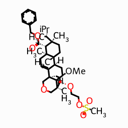 CO[C@@H]1C[C@@]23COC[C@@](C)([C@@H]2CC[C@H]2C3=CC[C@@]3(C)[C@H](C(=O)OCc4ccccc4)[C@@](C)([C@H](C)C(C)C)CC[C@]23C)[C@H]1OCCOS(C)(=O)=O